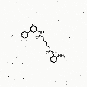 Nc1ccccc1NC(=O)CCCCCC(=O)Nc1cncc(-c2ccccc2)c1